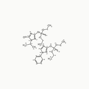 CCOP(=S)(OCC)Oc1nc(Cl)n(C(C)C)n1.CCOP(=S)(OCC)Oc1ncn(-c2ccccc2)n1